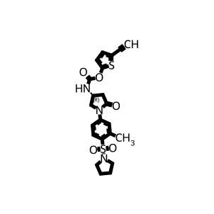 C#Cc1ccc(OC(=O)N[C@@H]2CC(=O)N(c3ccc(S(=O)(=O)N4CCCC4)c(C)c3)C2)s1